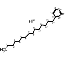 CCCCCCCCCCCCCCCc1ccncc1.I